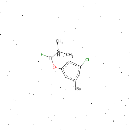 C[SiH](C)[Ti]([F])[O]c1cc(Cl)cc(C(C)(C)C)c1